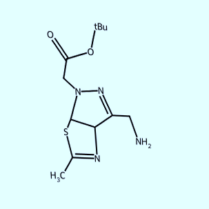 CC1=NC2C(CN)=NN(CC(=O)OC(C)(C)C)C2S1